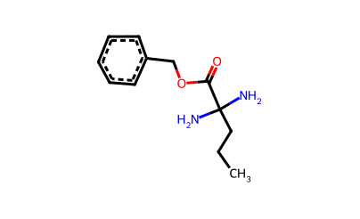 CCCC(N)(N)C(=O)OCc1ccccc1